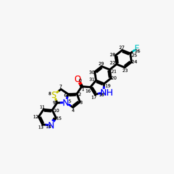 O=C(c1ccn2c1CSC2c1cccnc1)c1c[nH]c2cc(-c3ccc(F)cc3)ccc12